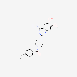 COc1cc2nc(N3CCN(C(=O)c4ccc(C(C)C)cc4)CC3)nc(N)c2cc1OC